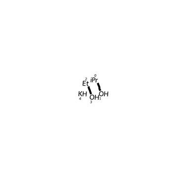 CC(C)O.CCO.[KH]